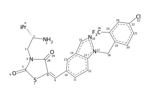 CC(C)[C@H](N)CN1C(=O)SC(=Cc2ccc3c(cnn3Cc3ccc(Cl)cc3C(F)(F)F)c2)C1=O